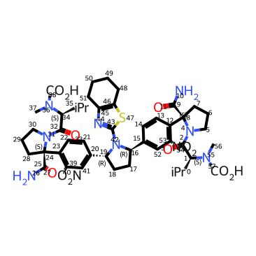 CC(C)[C@@H](C(=O)N1CCC[C@@]1(C(N)=O)c1ccc([C@H]2CC[C@H](c3ccc([C@]4(C(N)=O)CCCN4C(=O)[C@H](C(C)C)N(C)C(=O)O)c([N+](=O)[O-])c3)N2c2nc3c(s2)CCCC3)cc1[N+](=O)[O-])N(C)C(=O)O